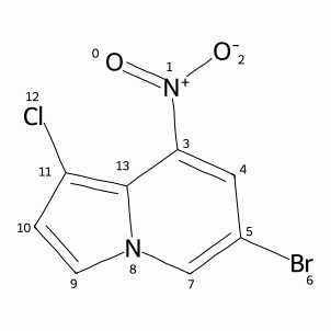 O=[N+]([O-])c1cc(Br)cn2ccc(Cl)c12